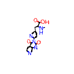 CNC(Cc1ccc(-n2c(=O)c3ccncc3n(C)c2=O)nc1)C(=O)O